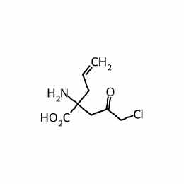 C=CCC(N)(CC(=O)CCl)C(=O)O